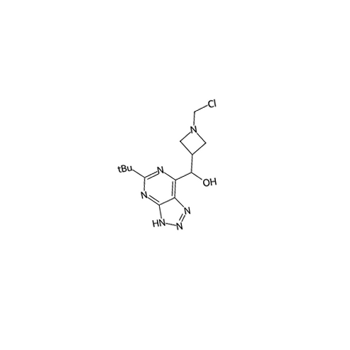 CC(C)(C)c1nc(C(O)C2CN(CCl)C2)c2nn[nH]c2n1